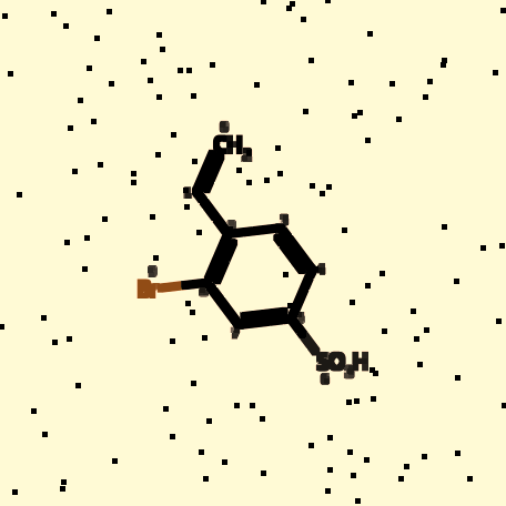 C=Cc1ccc(S(=O)(=O)O)cc1Br